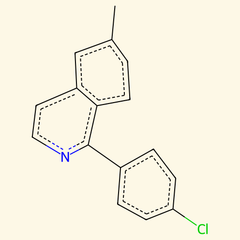 Cc1ccc2c(-c3ccc(Cl)cc3)nccc2c1